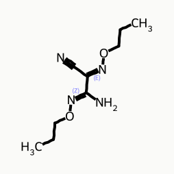 CCCO/N=C(N)/C(C#N)=N/OCCC